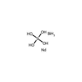 O[Si](O)(O)O.[BiH3].[Nd]